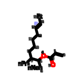 C=CC(=O)OC(CCCCCCCCC)C(CCC)CCCC/C=C/CC